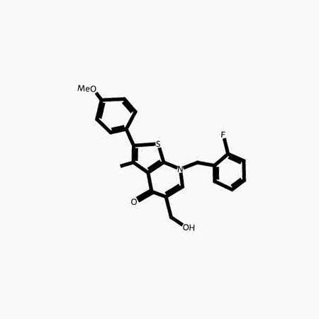 COc1ccc(-c2sc3c(c2C)c(=O)c(CO)cn3Cc2ccccc2F)cc1